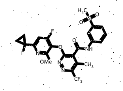 COc1nc(C2(F)CC2)cc(F)c1Oc1nnc(C(F)(F)F)c(C)c1C(=O)Nc1cccc(S(C)(=O)=O)c1